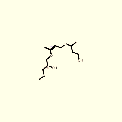 COC[C@H](O)CO/C(C)=C\COC(C)CCO